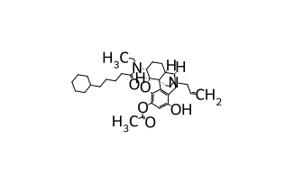 C=CCN1CC[C@]23c4c5c(O)cc(OC(C)=O)c4O[C@H]2[C@H](N(CC)C(=O)CCCCC2CCCCC2)CC[C@H]3[C@H]1C5